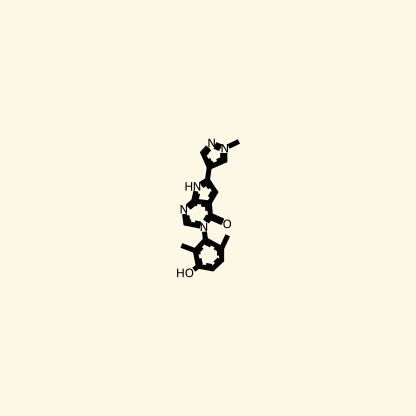 Cc1ccc(O)c(C)c1-n1cnc2[nH]c(-c3cnn(C)c3)cc2c1=O